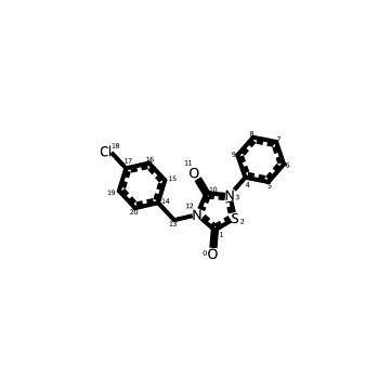 O=c1sn(-c2ccccc2)c(=O)n1Cc1ccc(Cl)cc1